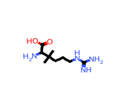 CC(C)(CCCNC(=N)N)C(N)C(=O)O